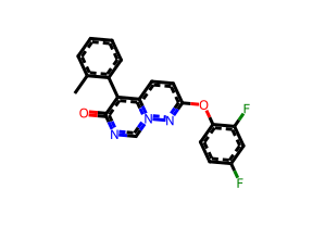 Cc1ccccc1-c1c(=O)ncn2nc(Oc3ccc(F)cc3F)ccc12